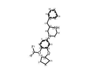 FC(F)Oc1ccc(N2CCNC(Cc3ccccc3)C2)cc1OC1CCCC1